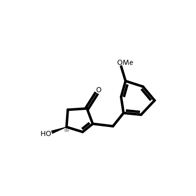 COc1cccc(CC2=C[C@@H](O)CC2=O)c1